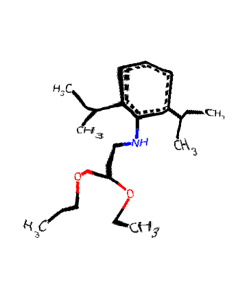 CCOC(CNc1c(C(C)C)cccc1C(C)C)OCC